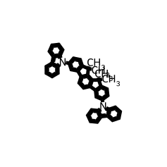 CC1(C)c2ccc(-n3c4ccccc4c4ccccc43)cc2-c2ccc3c(c21)C(C)(C)c1ccc(-n2c4ccccc4c4ccccc42)cc1-3